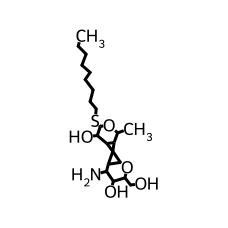 CCCCCCCCCSC1OC(C)C2C(C1O)C21C2OC(CO)C(O)C(N)C21